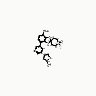 COc1ccc(-c2cncc([C@@H]3COB(O)C3)c2)c2c1OC1(CCS(=O)(=O)CC1)O2